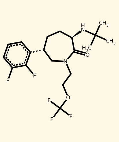 CC(C)(C)N[C@@H]1CC[C@@H](c2cccc(F)c2F)CN(CCOC(F)(F)F)C1=O